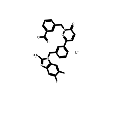 Nc1nc2cc(F)c(F)cc2n1Cc1cccc(-c2ccc(=O)n(Cc3cccc(C(=O)[O-])c3)n2)c1.[Li+]